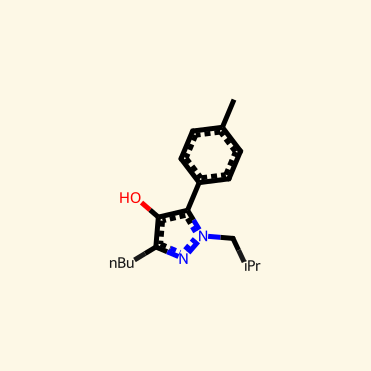 CCCCc1nn(CC(C)C)c(-c2ccc(C)cc2)c1O